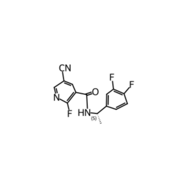 C[C@H](NC(=O)c1cc(C#N)cnc1F)c1ccc(F)c(F)c1